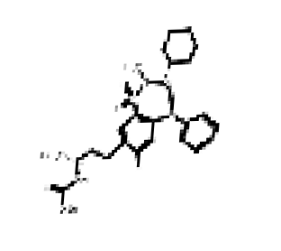 CC(C)COC(=O)N[C@@H](CCc1cc2c(cc1Cl)N(c1ccccc1)C[C@@H](C1CCCCC1)N(C)S2(=O)=O)C(=O)O